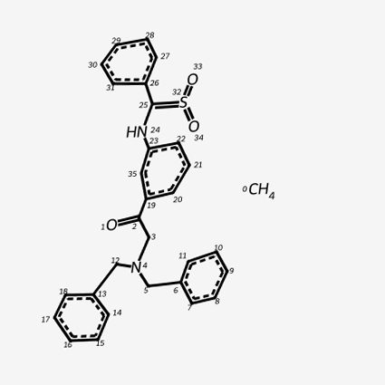 C.O=C(CN(Cc1ccccc1)Cc1ccccc1)c1cccc(NC(c2ccccc2)=S(=O)=O)c1